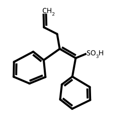 C=CCC(=C(c1ccccc1)S(=O)(=O)O)c1ccccc1